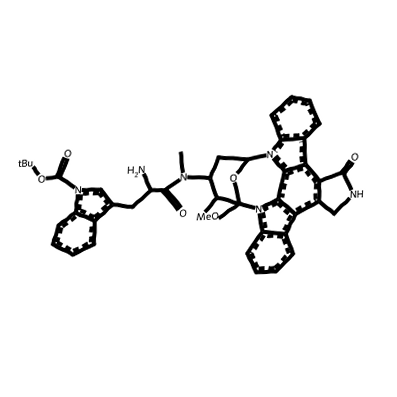 COC1C(N(C)C(=O)C(N)Cc2cn(C(=O)OC(C)(C)C)c3ccccc23)CC2OC1(C)n1c3ccccc3c3c4c(c5c6ccccc6n2c5c31)C(=O)NC4